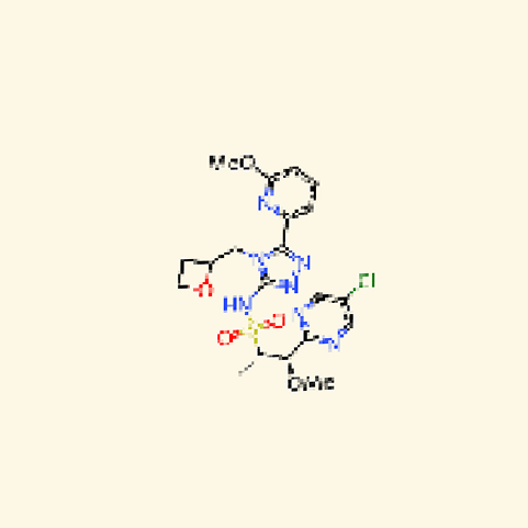 COc1cccc(-c2nnc(NS(=O)(=O)[C@@H](C)[C@H](OC)c3ncc(Cl)cn3)n2CC2CCO2)n1